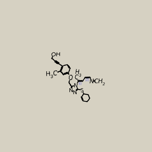 C=N/C=C\C=C(/C)n1c(COc2ccc(C#CCO)c(C)c2)nnc1SC1C=CCCC1